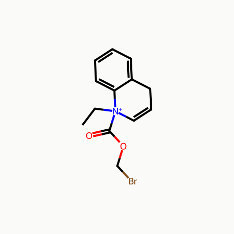 CC[N+]1(C(=O)OCBr)C=CCc2ccccc21